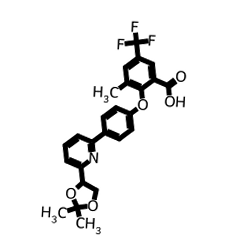 Cc1cc(C(F)(F)F)cc(C(=O)O)c1Oc1ccc(-c2cccc(C3COC(C)(C)O3)n2)cc1